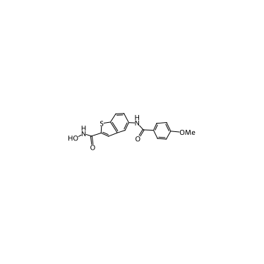 COc1ccc(C(=O)Nc2ccc3sc(C(=O)NO)cc3c2)cc1